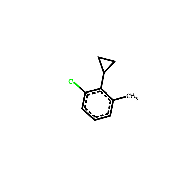 Cc1cccc(Cl)c1C1CC1